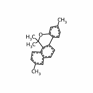 Cc1ccc2c(c1)OC(C)(C)c1c-2ccc2cc(C)ccc12